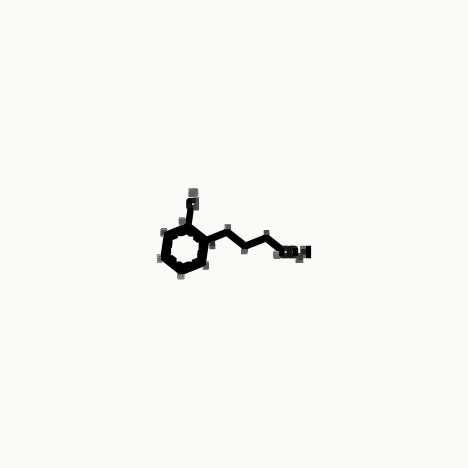 O=C(O)CCCc1ccccc1Cl